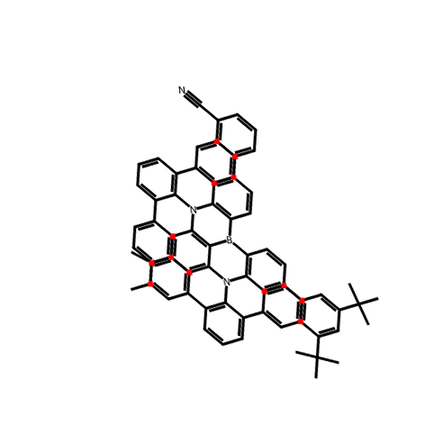 CCN(C)c1cc2c3c(c1)N(c1c(-c4ccccc4)cccc1-c1ccccc1)c1cc(-c4cc(C(C)(C)C)cc(C(C)(C)C)c4)ccc1B3c1ccc(-c3cccc(C#N)c3)cc1N2c1c(-c2ccccc2)cccc1-c1ccccc1